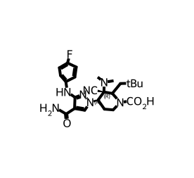 CN(C)[C@]1(C#N)C(CC(C)(C)C)N(C(=O)O)CC[C@H]1n1cc(C(N)=O)c(Nc2ccc(F)cc2)n1